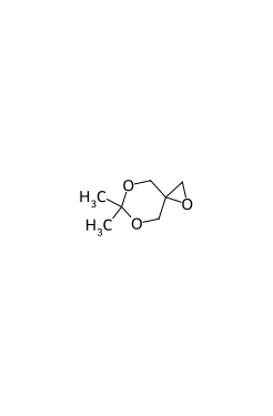 CC1(C)OCC2(CO2)CO1